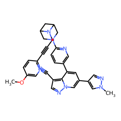 COc1ccc(C#CCN2C3CC2CN(c2ccc(-c4cc(-c5cnn(C)c5)cn5ncc(C#N)c45)cn2)C3)nc1